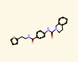 O=C(NCCc1cccs1)c1ccc(NC(=O)N2CCc3ccccc3C2)cc1